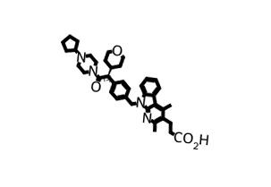 Cc1nc2c(c(C)c1CCC(=O)O)c1ccccc1n2Cc1ccc([C@@H](C(=O)N2CCN(C3CCCC3)CC2)C2CCOCC2)cc1